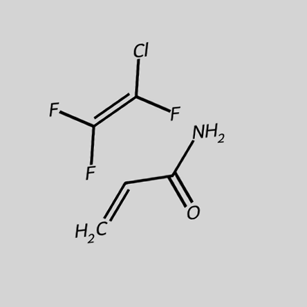 C=CC(N)=O.FC(F)=C(F)Cl